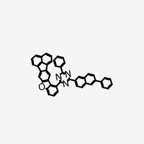 c1ccc(-c2ccc3cc(-c4nc(-c5ccccc5)nc(-c5cccc6oc7cc8c(cc7c56)-c5cccc6cccc-8c56)n4)ccc3c2)cc1